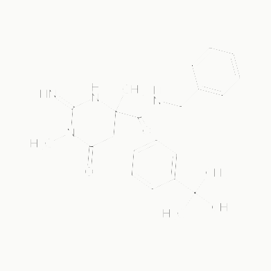 CN1C(=N)NC(C)(C(=O)NCc2ccccc2)[C@H](c2ccc(C(C)(C)C)cc2)C1=O